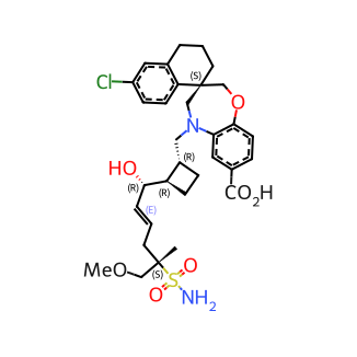 COC[C@](C)(C/C=C/[C@H](O)[C@@H]1CC[C@H]1CN1C[C@@]2(CCCc3cc(Cl)ccc32)COc2ccc(C(=O)O)cc21)S(N)(=O)=O